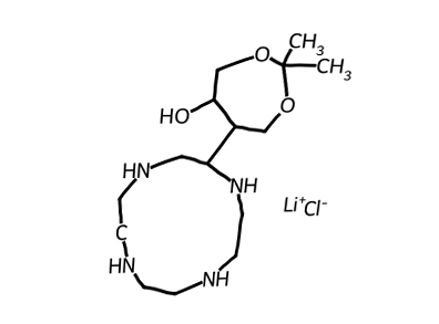 CC1(C)OCC(O)C(C2CNCCNCCNCCN2)CO1.[Cl-].[Li+]